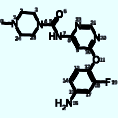 CN1CCN(C(=O)Nc2cc(Oc3ccc(N)cc3F)ncn2)CC1